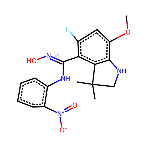 COc1cc(F)c(/C(=N/O)Nc2ccccc2[N+](=O)[O-])c2c1NCC2(C)C